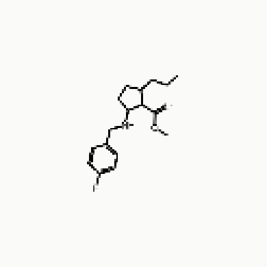 CCCC1CCC(NCc2ccc(F)cc2)C1C(=O)OC